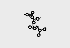 Cc1ccc(N(c2ccc(-n3c4ccccc4c4ccc5c(ccn5-c5cc(-c6ccccc6)cc(-c6ccccc6)c5)c43)cc2)c2ccc3c(c2)c2ccccc2n3-c2ccc(C)cc2)cc1